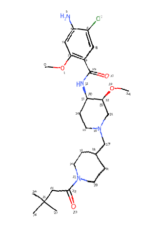 COc1cc(N)c(Cl)cc1C(=O)N[C@@H]1CCN(CC2CCN(C(=O)CC(C)(C)C)CC2)C[C@@H]1OC